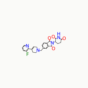 O=C1CCC(N2C(=O)c3ccc(CN4CC=C(c5ncccc5F)CC4)cc3C2=O)C(=O)N1